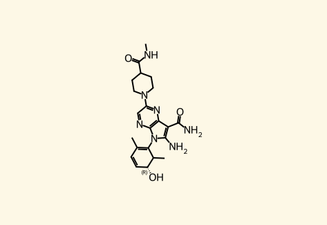 CNC(=O)C1CCN(c2cnc3c(n2)c(C(N)=O)c(N)n3C2=C(C)C=C[C@@H](O)C2C)CC1